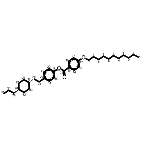 CCCCCCCCCCCOc1ccc(C(=O)Oc2ccc(CC[C@H]3CC[C@H](CCC)CC3)cc2)cc1